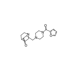 O=C1C2CCN(CC2)C1CN1CCN(C(=O)c2ccco2)CC1